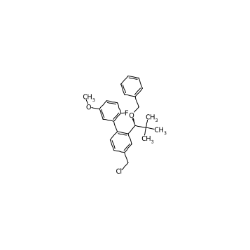 COc1ccc(F)c(-c2ccc(CCl)cc2[C@@H](OCc2ccccc2)C(C)(C)C)c1